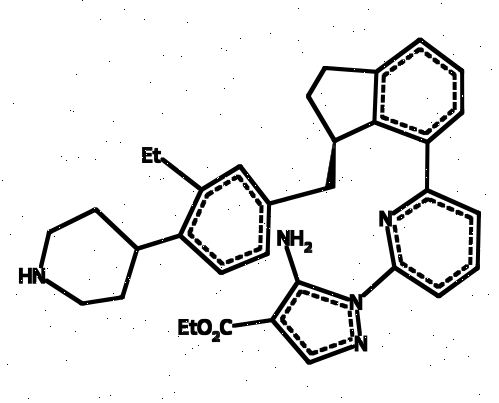 CCOC(=O)c1cnn(-c2cccc(-c3cccc4c3[C@@H](Cc3ccc(C5CCNCC5)c(CC)c3)CC4)n2)c1N